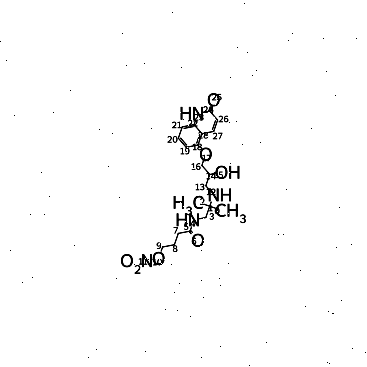 CC(C)(CNC(=O)CCCO[N+](=O)[O-])NCC(O)COc1cccc2[nH]c(=O)ccc12